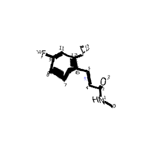 CNC(=O)/C=C/c1ccc(F)cc1F